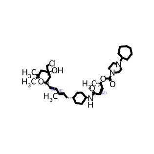 CC(/C=C/[C@@H]1C[C@](O)(CCl)CC(C)(C)O1)=C\C[C@H]1CC[C@H](NC(=O)/C=C\[C@H](C)OC(=O)N2CCN(C3CCCCCC3)CC2)CC1